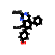 CNc1ncc2c(-c3ccccc3)cc(C3CCC(O)CC3)c(OC)c2n1